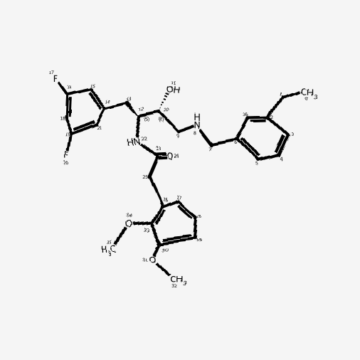 CCc1cccc(CNC[C@@H](O)[C@H](Cc2cc(F)cc(F)c2)NC(=O)Cc2cccc(OC)c2OC)c1